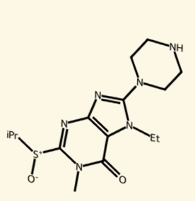 CCn1c(N2CCNCC2)nc2nc([S+]([O-])C(C)C)n(C)c(=O)c21